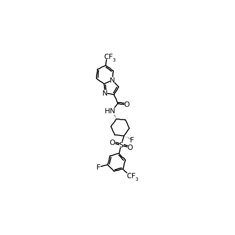 O=C(N[C@H]1CC[C@](F)(S(=O)(=O)c2cc(F)cc(C(F)(F)F)c2)CC1)c1cn2cc(C(F)(F)F)ccc2n1